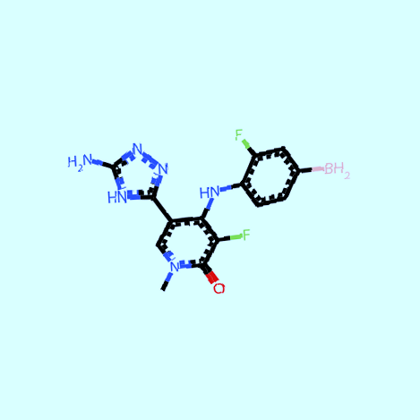 Bc1ccc(Nc2c(-c3nnc(N)[nH]3)cn(C)c(=O)c2F)c(F)c1